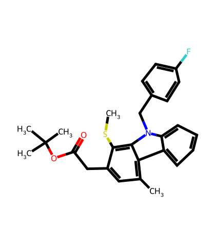 CSc1c(CC(=O)OC(C)(C)C)cc(C)c2c3ccccc3n(Cc3ccc(F)cc3)c12